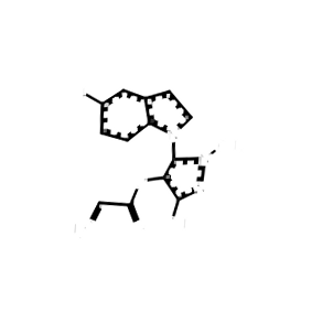 C=CC(=O)Oc1c(C)nn(C)c1-n1ccc2cc(Cl)ccc21